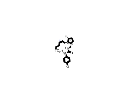 O=C(O)CC/C=C\C[C@@H]1[C@@H](CNC(=O)Nc2ccc(Cl)cc2)CC[C@H]1F